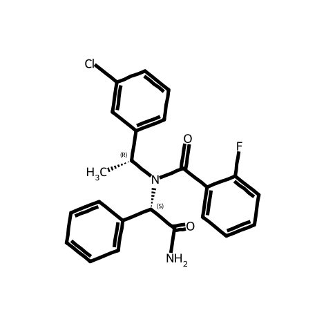 C[C@H](c1cccc(Cl)c1)N(C(=O)c1ccccc1F)[C@H](C(N)=O)c1ccccc1